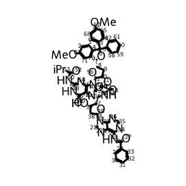 COc1ccc(C(OC[C@@H]2C[C@@H](OS(=O)(=O)NC[C@H]3O[C@@H](n4cnc5c(NC(=O)c6ccccc6)ncnc54)C[C@@H]3O)[C@H](n3cnc4c(=O)[nH]c(NC(=O)C(C)C)nc43)O2)(c2ccccc2)c2ccc(OC)cc2)cc1